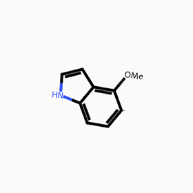 COc1[c]ccc2[nH]ccc12